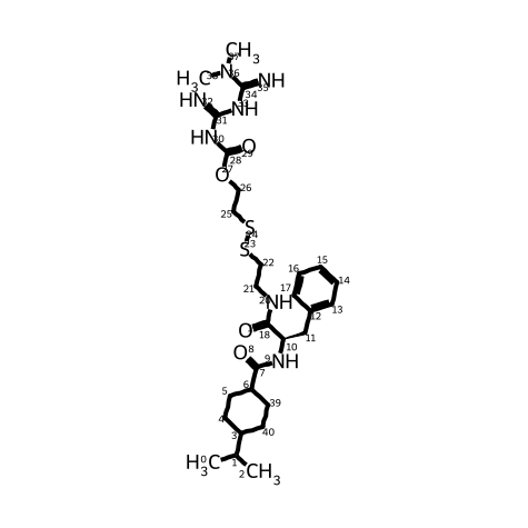 CC(C)C1CCC(C(=O)N[C@H](Cc2ccccc2)C(=O)NCCSSCCOC(=O)NC(=N)NC(=N)N(C)C)CC1